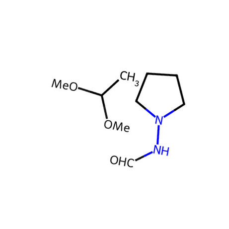 COC(C)OC.O=CNN1CCCC1